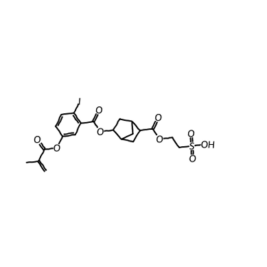 C=C(C)C(=O)Oc1ccc(I)c(C(=O)OC2CC3CC2CC3C(=O)OCCS(=O)(=O)O)c1